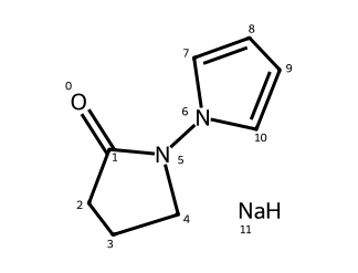 O=C1CCCN1n1cccc1.[NaH]